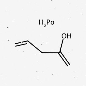 C=CCC(=C)O.[PoH2]